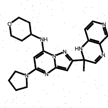 CC1(c2cc3nc(N4CCCC4)cc(NC4CCOCC4)n3n2)C=Nc2cnccc2N1